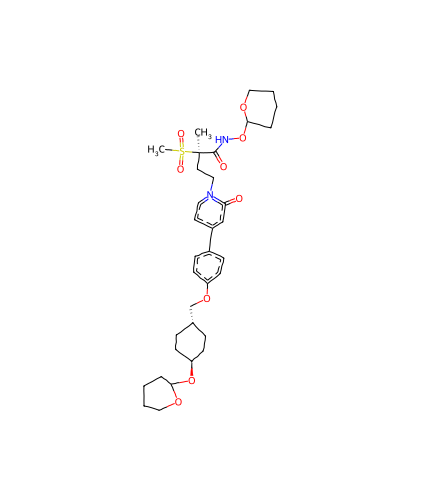 C[C@@](CCn1ccc(-c2ccc(OC[C@H]3CC[C@H](OC4CCCCO4)CC3)cc2)cc1=O)(C(=O)NOC1CCCCO1)S(C)(=O)=O